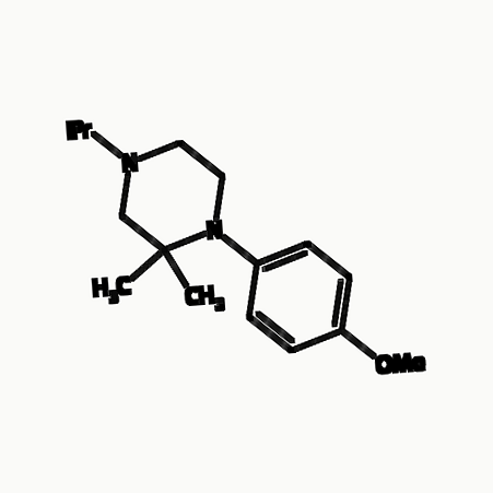 COc1ccc(N2CCN(C(C)C)CC2(C)C)cc1